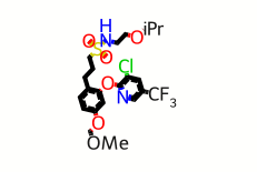 COCOc1ccc(CCCS(=O)(=O)NCCOC(C)C)c(Oc2ncc(C(F)(F)F)cc2Cl)c1